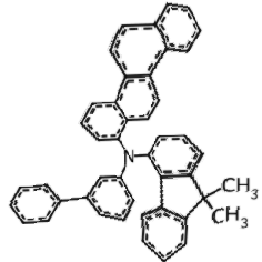 CC1(C)c2ccccc2-c2c(N(c3cccc(-c4ccccc4)c3)c3cccc4c3ccc3c5ccccc5ccc43)cccc21